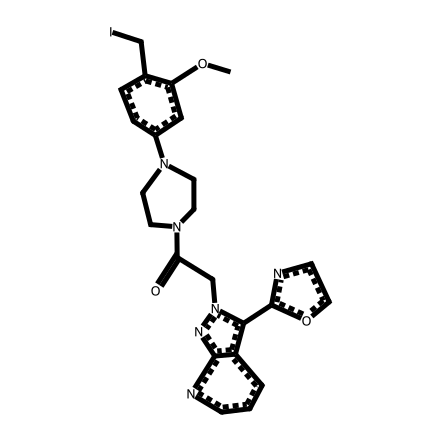 COc1cc(N2CCN(C(=O)Cn3nc4ncccc4c3-c3ncco3)CC2)ccc1CI